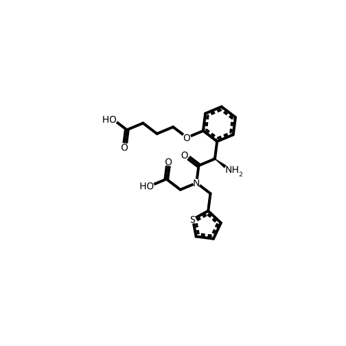 N[C@@H](C(=O)N(CC(=O)O)Cc1cccs1)c1ccccc1OCCCC(=O)O